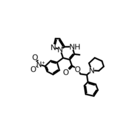 CC1=C(C(=O)OCC(c2ccccc2)N2CCCCC2)C(c2cccc([N+](=O)[O-])c2)n2nccc2N1